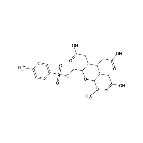 COC1OC(COS(=O)(=O)c2ccc(C)cc2)C(CC(=O)O)C(CC(=O)O)C1CC(=O)O